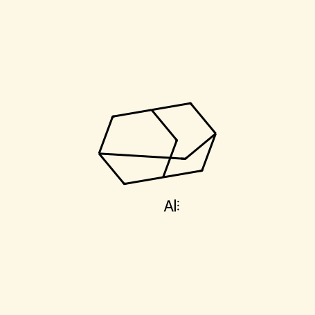 C1C2CC3CC1CC(C2)C3.[Al]